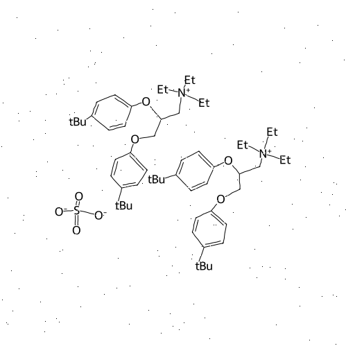 CC[N+](CC)(CC)CC(COc1ccc(C(C)(C)C)cc1)Oc1ccc(C(C)(C)C)cc1.CC[N+](CC)(CC)CC(COc1ccc(C(C)(C)C)cc1)Oc1ccc(C(C)(C)C)cc1.O=S(=O)([O-])[O-]